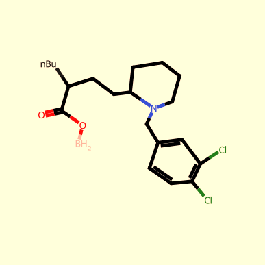 BOC(=O)C(CCCC)CCC1CCCCN1Cc1ccc(Cl)c(Cl)c1